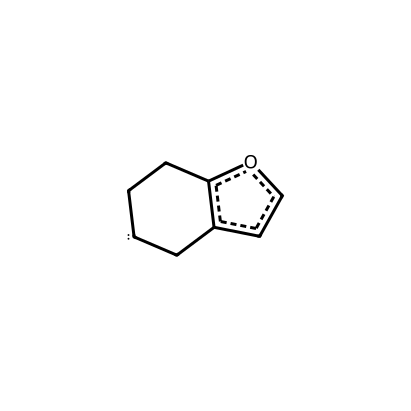 [C]1CCc2occc2C1